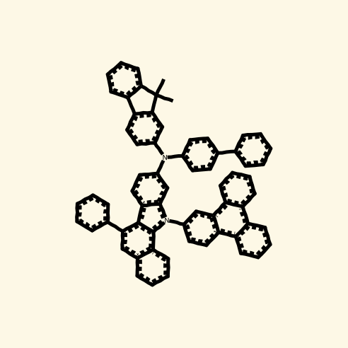 CC1(C)c2ccccc2-c2ccc(N(c3ccc(-c4ccccc4)cc3)c3ccc4c5c(-c6ccccc6)cc6ccccc6c5n(-c5ccc6c7ccccc7c7ccccc7c6c5)c4c3)cc21